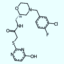 O=C(CSc1nccc(O)n1)NC[C@H]1CN(Cc2ccc(F)c(Cl)c2)CCO1